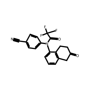 N#Cc1ccc(N(C(=O)C(F)(F)F)c2cccc3c2CCC(=O)C3)cc1